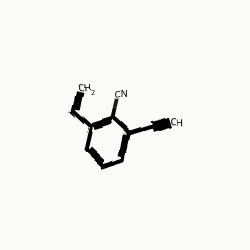 C#Cc1cccc([C]=C)c1C#N